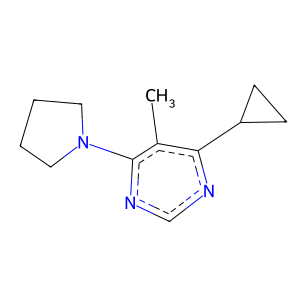 Cc1c(C2CC2)ncnc1N1CCCC1